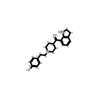 O=C(c1cccc2c1NCC2)C1CCN(CCc2ccc(F)cc2)CC1